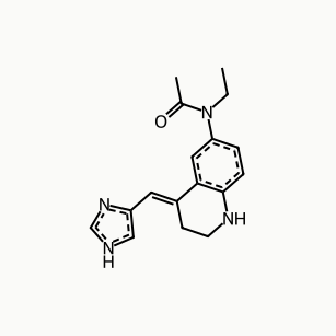 CCN(C(C)=O)c1ccc2c(c1)/C(=C/c1c[nH]cn1)CCN2